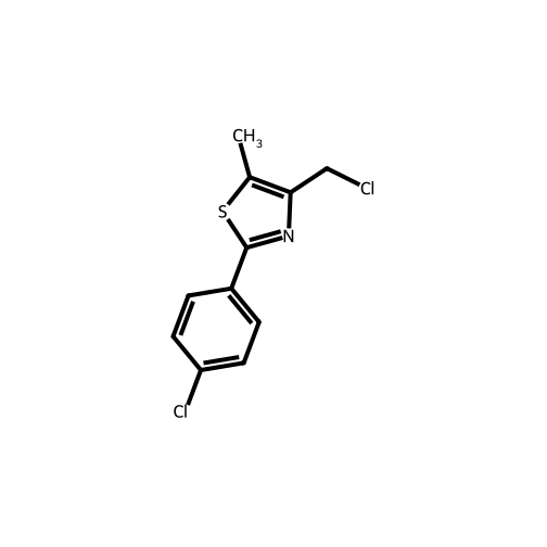 Cc1sc(-c2ccc(Cl)cc2)nc1CCl